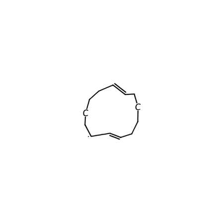 [CH]1/C=C/CCCC/C=C/CCCC1